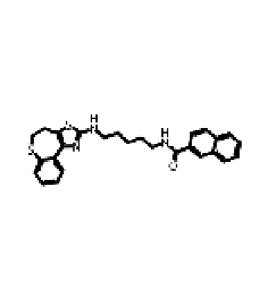 O=C(NCCCCCNc1nc2c(s1)CCSc1ccccc1-2)c1ccc2ccccc2c1